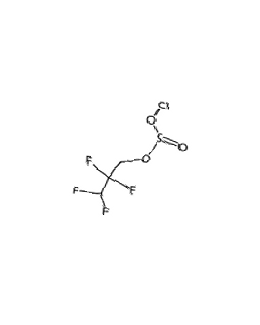 O=S(OCl)OCC(F)(F)C(F)F